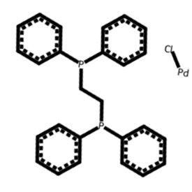 [Cl][Pd].c1ccc(P(CCP(c2ccccc2)c2ccccc2)c2ccccc2)cc1